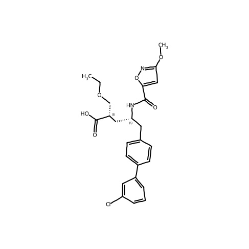 CCOC[C@H](C[C@@H](Cc1ccc(-c2cccc(Cl)c2)cc1)NC(=O)c1cc(OC)no1)C(=O)O